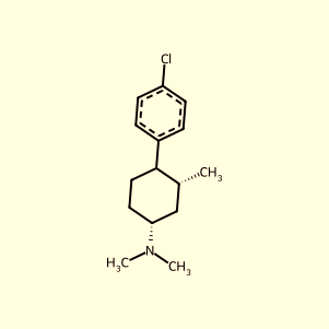 C[C@@H]1C[C@H](N(C)C)CCC1c1ccc(Cl)cc1